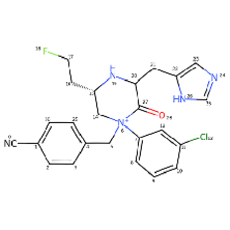 N#Cc1ccc(C[N+]2(c3cccc(Cl)c3)C[C@H](CCF)NC(Cc3cnc[nH]3)C2=O)cc1